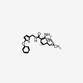 COCC(C)/C=C\C(C(=O)NCc1ccc(Oc2ccccc2)s1)=C(/C)N